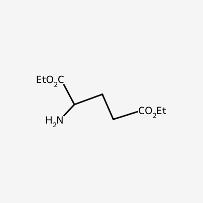 CCOC(=O)CCC(N)C(=O)OCC